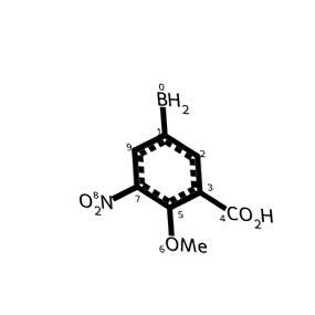 Bc1cc(C(=O)O)c(OC)c([N+](=O)[O-])c1